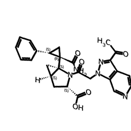 CC(=O)c1nn(CC(=O)N2[C@H](C(=O)O)C[C@H]3C[C@@]32[C@@]2(C(N)=O)C[C@H]2c2ccccc2)c2cnccc12